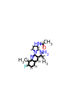 CC(=O)NC1CCN(c2nc3c(C)c(F)ccc3cc2[C@H](C)N)C1